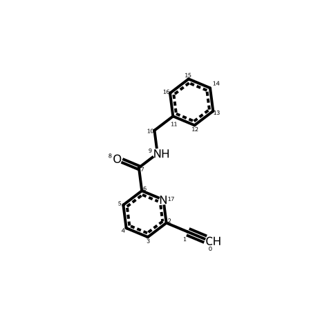 C#Cc1cccc(C(=O)NCc2ccccc2)n1